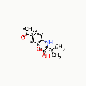 CC(=O)c1ccc(N[C@H](C(=O)O)C(C)C)cc1